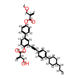 C=C(COC)C(=O)Oc1ccc(-c2ccc(OC(=O)C(=C)CO)c(C#Cc3ccc(C4CCC(CCC)CC4)cc3)c2)cc1